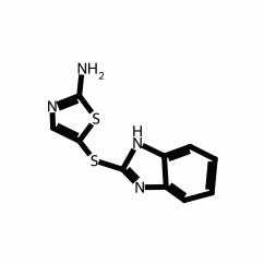 Nc1ncc(Sc2nc3ccccc3[nH]2)s1